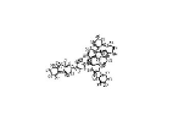 CC1(C)C2=CC(C3=CCC(N(c4ccc5c(c4)oc4ccccc45)c4cccc5c4-c4ccccc4C54c5ccccc5-c5ccccc54)C=C3)CC=C2c2ccccc21